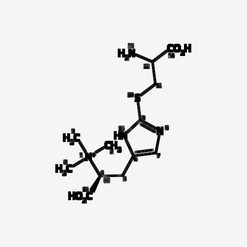 C[N+](C)(C)[C@@H](Cc1cnc(SCC(N)C(=O)O)[nH]1)C(=O)O